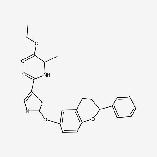 CCOC(=O)C(C)NC(=O)c1cnc(Oc2ccc3c(c2)CCC(c2cccnc2)O3)s1